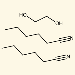 CCCCCC#N.CCCCCC#N.OCCO